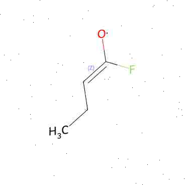 CC/C=C(/[O])F